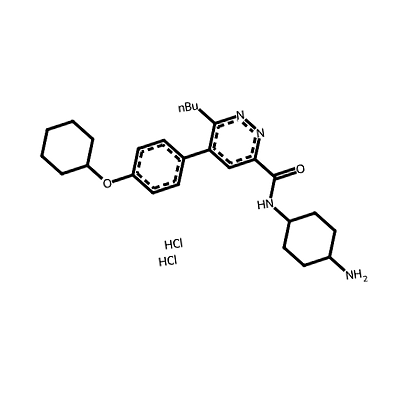 CCCCc1nnc(C(=O)NC2CCC(N)CC2)cc1-c1ccc(OC2CCCCC2)cc1.Cl.Cl